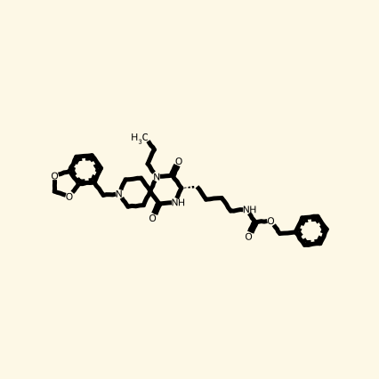 CCCN1C(=O)[C@H](CCCCNC(=O)OCc2ccccc2)NC(=O)C12CCN(Cc1cccc3c1OCO3)CC2